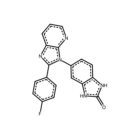 O=c1[nH]c2ccc(-n3c(-c4ccc(F)cc4)nc4cccnc43)cc2[nH]1